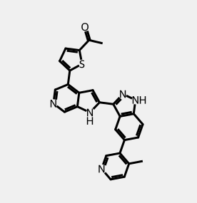 CC(=O)c1ccc(-c2cncc3[nH]c(-c4n[nH]c5ccc(-c6cnccc6C)cc45)cc23)s1